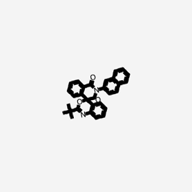 CC(C)(C)C1=Nc2ccccc2C2(O1)C(=O)N(c1ccc3ccccc3c1)C(=O)c1ccccc12